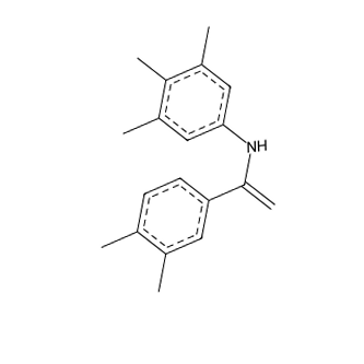 C=C(Nc1cc(C)c(C)c(C)c1)c1ccc(C)c(C)c1